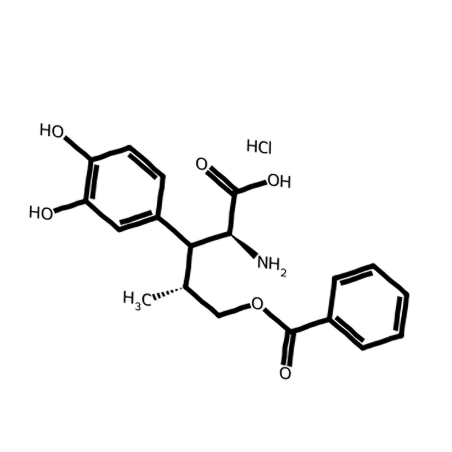 C[C@@H](COC(=O)c1ccccc1)C(c1ccc(O)c(O)c1)[C@H](N)C(=O)O.Cl